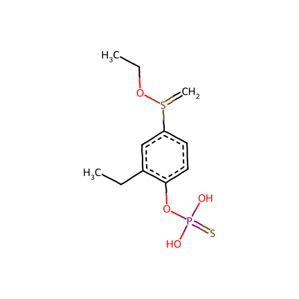 C=S(OCC)c1ccc(OP(O)(O)=S)c(CC)c1